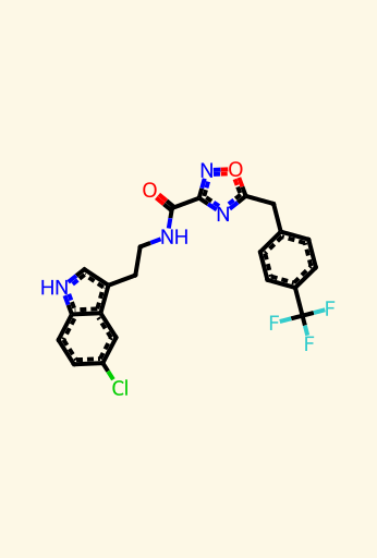 O=C(NCCc1c[nH]c2ccc(Cl)cc12)c1noc(Cc2ccc(C(F)(F)F)cc2)n1